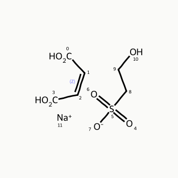 O=C(O)/C=C\C(=O)O.O=S(=O)([O-])CCO.[Na+]